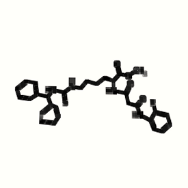 COC(=O)[C@H](CCCCNC(=S)NC(c1ccccc1)c1ccccc1)NC(=O)CC(=O)Nc1ccccc1F